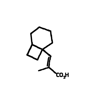 CC(=CC12CCCCC1CC2)C(=O)O